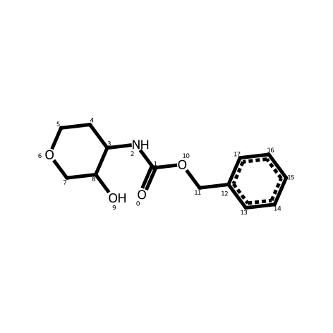 O=C(NC1CCOCC1O)OCc1ccccc1